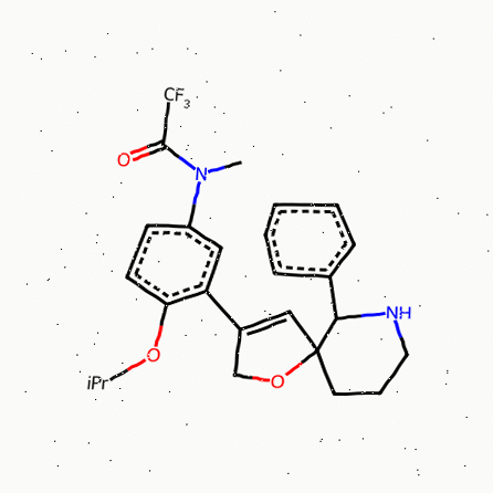 CC(C)Oc1ccc(N(C)C(=O)C(F)(F)F)cc1C1=CC2(CCCNC2c2ccccc2)OC1